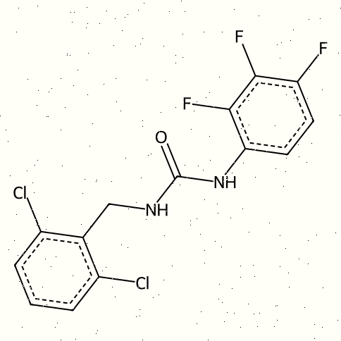 O=C(NCc1c(Cl)cccc1Cl)Nc1ccc(F)c(F)c1F